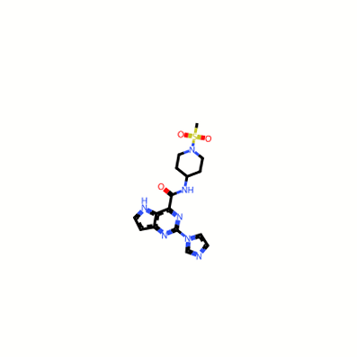 CS(=O)(=O)N1CCC(NC(=O)c2nc(-n3ccnc3)nc3cc[nH]c23)CC1